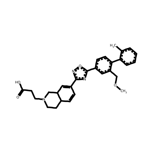 COCc1cc(-c2nc(C3=CC4CN(CCC(=O)O)CCC4C=C3)no2)ccc1-c1ccccc1C